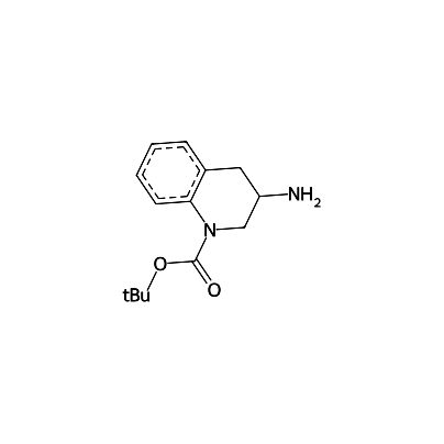 CC(C)(C)OC(=O)N1CC(N)Cc2ccccc21